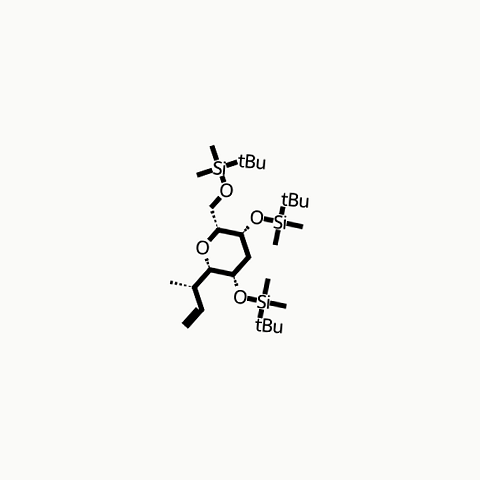 C=C[C@H](C)[C@@H]1O[C@H](CO[Si](C)(C)C(C)(C)C)[C@H](O[Si](C)(C)C(C)(C)C)C[C@@H]1O[Si](C)(C)C(C)(C)C